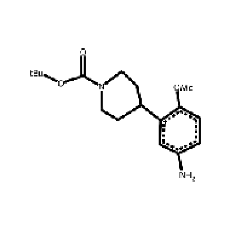 COc1ccc(N)cc1C1CCN(C(=O)OC(C)(C)C)CC1